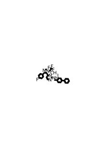 CC(n1cnc(-c2ccc(F)cc2)c1-c1ccnc(NCc2ccc(-c3ccccc3)cc2)n1)C(F)(F)F